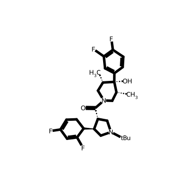 C[C@@H]1CN(C(=O)[C@@H]2CN(C(C)(C)C)C[C@H]2C2CC=C(F)C=C2F)C[C@H](C)[C@@]1(O)c1ccc(F)c(F)c1